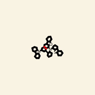 c1cc(-c2ccccc2N(c2cccc3c2oc2ccccc23)c2cccc3c2sc2ccccc23)cc(-n2c3ccccc3c3ccccc32)c1